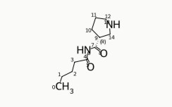 CCCCC(=O)NC(=O)[C@@H]1CCCNC1